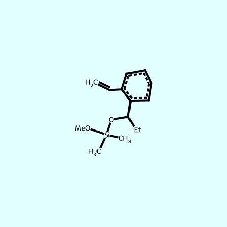 C=Cc1ccccc1C(CC)O[Si](C)(C)OC